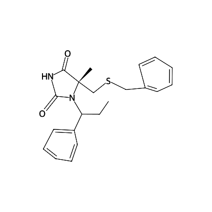 CCC(c1ccccc1)N1C(=O)NC(=O)[C@]1(C)CSCc1ccccc1